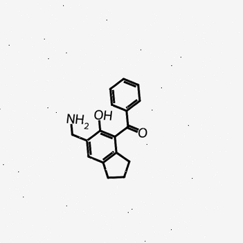 NCc1cc2c(c(C(=O)c3ccccc3)c1O)CCC2